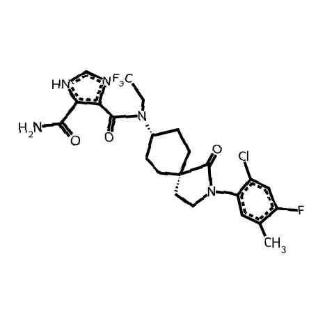 Cc1cc(N2CC[C@]3(CC[C@@H](N(CC(F)(F)F)C(=O)c4nc[nH]c4C(N)=O)CC3)C2=O)c(Cl)cc1F